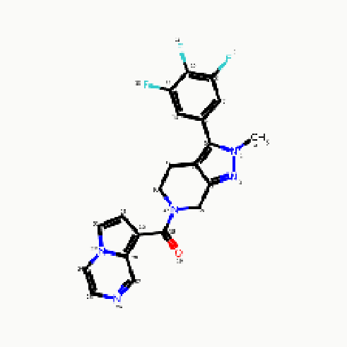 Cn1nc2c(c1-c1cc(F)c(F)c(F)c1)CCN(C(=O)c1ccn3ccncc13)C2